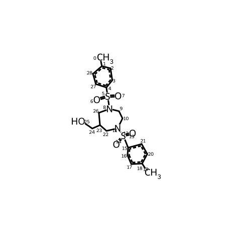 Cc1ccc(S(=O)(=O)N2CCN(S(=O)(=O)c3ccc(C)cc3)CC(CO)C2)cc1